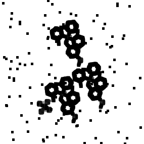 COc1ccc(C[P+](c2ccccc2C)(c2ccccc2C)c2ccccc2C)cc1.COc1ccc(C[P+](c2ccccc2C)(c2ccccc2C)c2ccccc2C)cc1.COc1ccc(C[P+](c2ccccc2C)(c2ccccc2C)c2ccccc2C)cc1.O=P([O-])([O-])[O-]